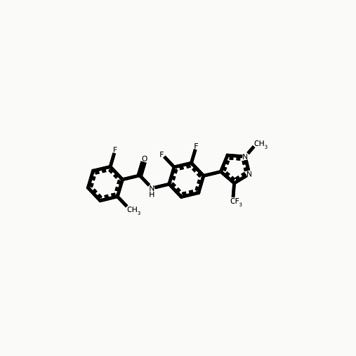 Cc1cccc(F)c1C(=O)Nc1ccc(-c2cn(C)nc2C(F)(F)F)c(F)c1F